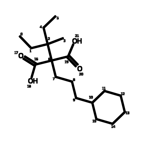 CCC(C)(CC)C(CCCC1CCCCC1)(C(=O)O)C(=O)O